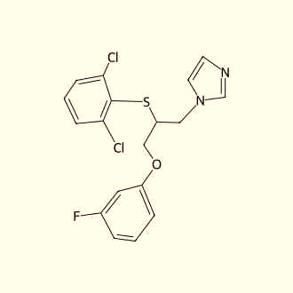 Fc1cccc(OCC(Cn2ccnc2)Sc2c(Cl)cccc2Cl)c1